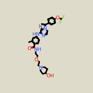 Cc1cc(Nc2nccn3c(-c4ccc(OC(F)F)cc4)cnc23)ccc1C(=O)NCCOCCN1CCC(O)CC1